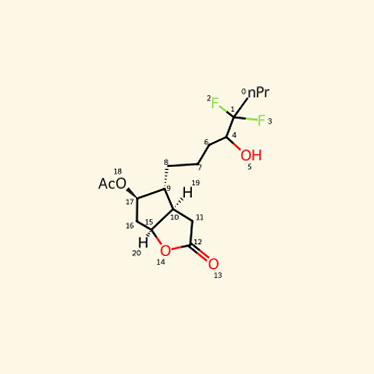 CCCC(F)(F)C(O)CCC[C@@H]1[C@H]2CC(=O)O[C@H]2C[C@H]1OC(C)=O